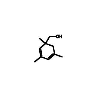 CC1=CC(C)(CO)CC(C)=C1